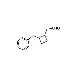 O=CCC1CCN1Cc1ccccc1